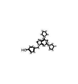 Oc1ccc(Cn2cnc3c(N4CCCC4)nc(N4CCCC4)nc32)cc1